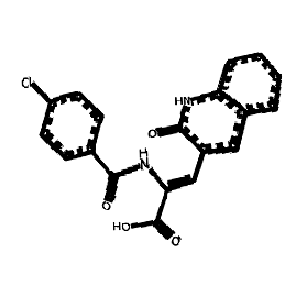 O=C(O)C(=Cc1cc2ccccc2[nH]c1=O)NC(=O)c1ccc(Cl)cc1